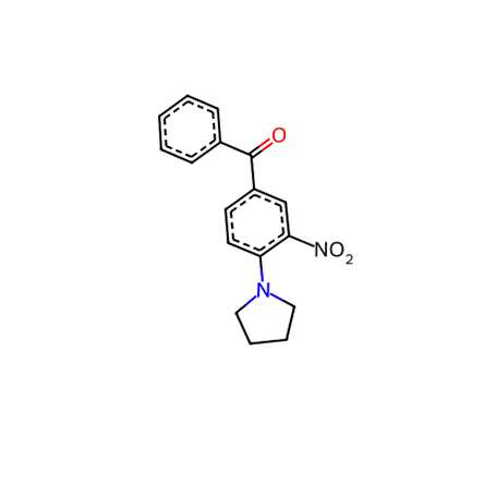 O=C(c1ccccc1)c1ccc(N2CCCC2)c([N+](=O)[O-])c1